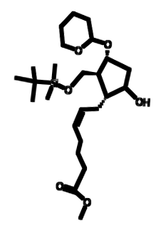 COC(=O)CCC/C=C\C[C@H]1C(O)C[C@@H](OC2CCCCO2)[C@@H]1CO[Si](C)(C)C(C)(C)C